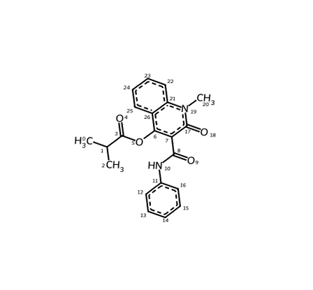 CC(C)C(=O)Oc1c(C(=O)Nc2ccccc2)c(=O)n(C)c2ccccc12